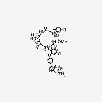 COC[C@@H]1NC(=O)[C@H](C)N(Cc2ccc(Cl)cc2Oc2ccc(-c3cnc(CN(C)C)n3C)cc2)C(=O)CC(C2CC2)C(=O)N(C)[C@@H](C)CNC(=O)C[C@H](Cc2ccc(Cl)cc2)N(C)C1=O